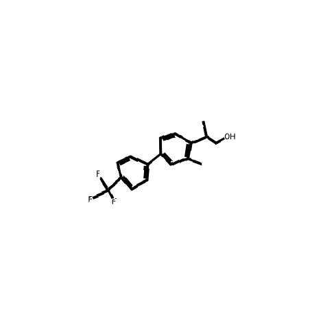 Cc1cc(-c2ccc(C(F)(F)F)cc2)ccc1C(C)CO